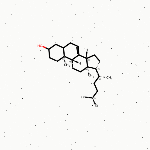 CC[C@H](CC[C@@H](C)[C@H]1CC[C@H]2C3=CCC4CC(O)CC[C@]4(C)[C@H]3CC[C@]12C)C(C)C